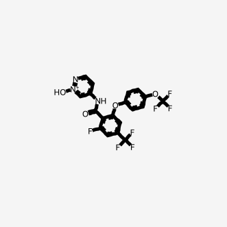 O=C(Nc1ccn[n+](O)c1)c1c(F)cc(C(F)(F)F)cc1Oc1ccc(OC(F)(F)F)cc1